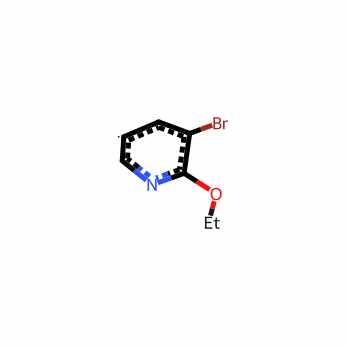 CCOc1nc[c]cc1Br